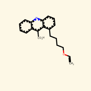 C=COCCCCc1cccc2nc3ccccc3c(C(=O)O)c12